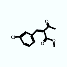 COC(=O)C(=Cc1cccc(Cl)c1)C(C)=O